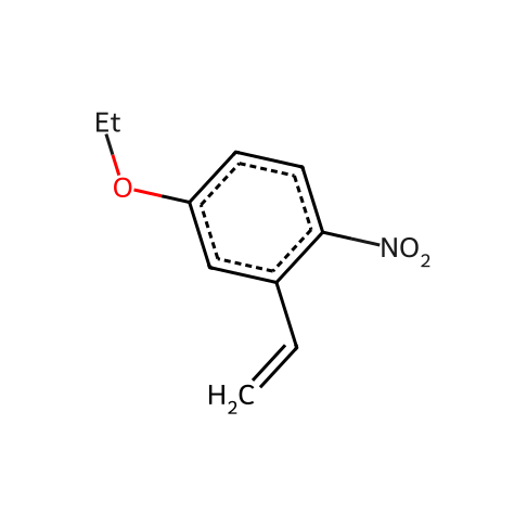 C=Cc1cc(OCC)ccc1[N+](=O)[O-]